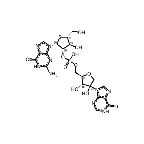 Nc1nc2c(ncn2[C@@H]2S[C@H](CO)[C@@H](O)[C@H]2OP(=O)(O)OC[C@H]2OC[C@](O)(n3cnc4c(=O)[nH]cnc43)[C@@H]2O)c(=O)[nH]1